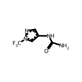 NC(=O)Nc1cnn(C(F)(F)F)c1